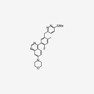 CSc1ccc(Cc2cc(-c3ncnc4cc(N5CCOCC5)ccc34)c(F)cc2C)nn1